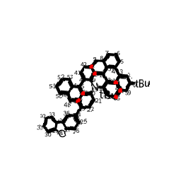 CC(C)(C)c1cc(-c2cccc3cccc(-c4ccccc4N(c4ccc(-c5ccc6oc7ccccc7c6c5)cc4)c4ccccc4-c4cccc5ccccc45)c23)cc(C(C)(C)C)c1